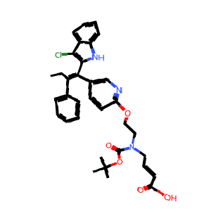 CC/C(=C(/c1ccc(OCCN(C/C=C/C(=O)O)C(=O)OC(C)(C)C)nc1)c1[nH]c2ccccc2c1Cl)c1ccccc1